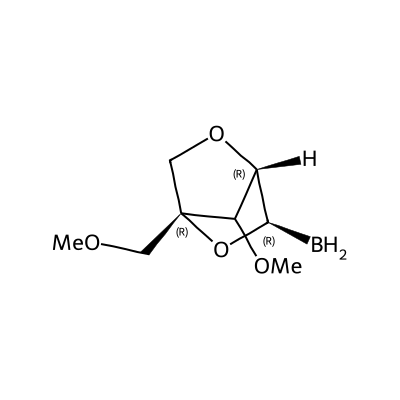 B[C@H]1O[C@]2(COC)CO[C@H]1C2OC